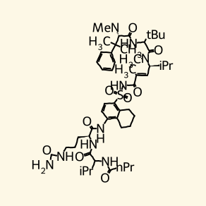 CCCC(=O)NC(C(=O)N[C@@H](CCCNC(N)=O)C(=O)Nc1ccc(S(=O)(=O)NC(=O)/C(C)=C/[C@H](C(C)C)N(C)C(=O)C(NC(=O)[C@@H](NC)C(C)(C)c2ccccc2)C(C)(C)C)c2c1CCCC2)C(C)C